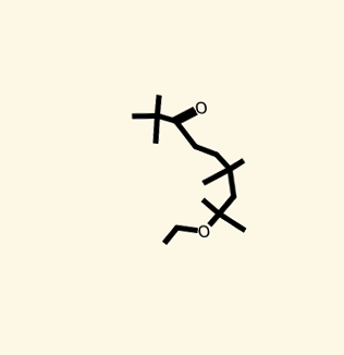 CCOC(C)(C)CC(C)(C)CCC(=O)C(C)(C)C